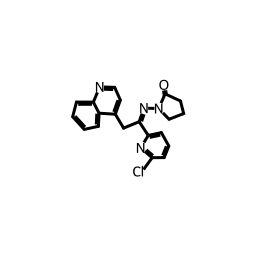 O=C1CCCN1N=C(Cc1ccnc2ccccc12)c1cccc(Cl)n1